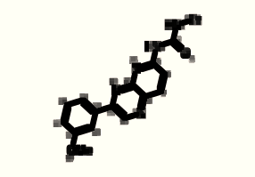 CCNC(=O)Nc1ccc2ncc(-c3cccc(OC)c3)nc2n1